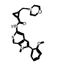 COc1ccccc1-c1cc2cc(NC(=O)C3CC3CN3CCOCC3)ncc2n1C